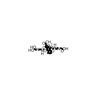 CC(=O)c1cc2c(OC(=O)NCCNCC(O)O)c3ccccc3c(OC(=O)NCCNCC(=O)O)c2o1